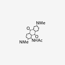 CNc1ccc2c(c1)C(=O)c1ccc(NC)c(NC(C)=O)c1C2=O